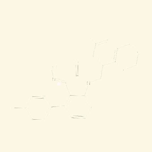 O=C1/C(=N\O)c2c(-c3ccc(F)cc3)cccc2N1Cc1cc(F)cc2c1OCOC2